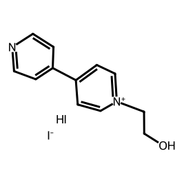 I.OCC[n+]1ccc(-c2ccncc2)cc1.[I-]